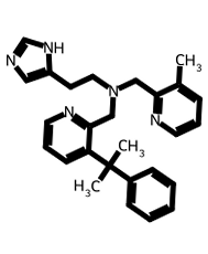 Cc1cccnc1CN(CCc1cnc[nH]1)Cc1ncccc1C(C)(C)c1ccccc1